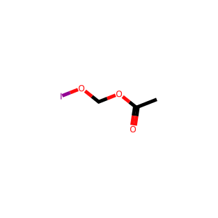 CC(=O)OCOI